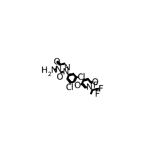 CC(n1cc(Oc2c(Cl)cc(-n3ncc(=O)n(N)c3=O)cc2Cl)ccc1=O)C(F)(F)F